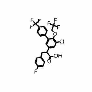 O=C(O)C(Cc1ccc(F)cc1)c1cc(Cl)c(OCC(F)(F)F)c(-c2ccc(C(F)(F)F)cc2)c1